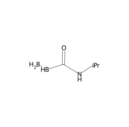 BBC(=O)NC(C)C